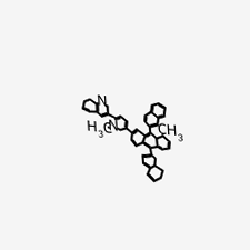 CC1C=CC=C2C(C3=CC=C4C=CCCC4C3)=c3ccc(C4=CC=C(c5cnc6c(c5)C=CCC6)N(C)C4)cc3=C(c3ccc4ccccc4c3)C21